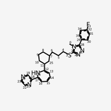 Cn1c(SCCCC2CCCC(C3=CC=CC=C(c4cnccn4)N3)C2)nnc1-c1ccc(F)cc1